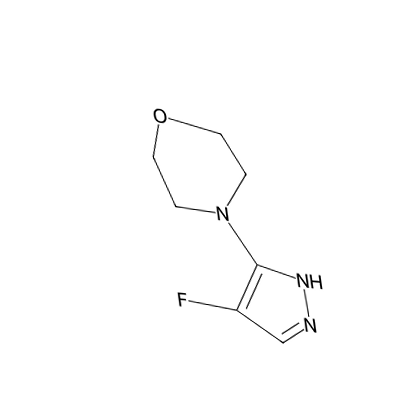 Fc1cn[nH]c1N1CCOCC1